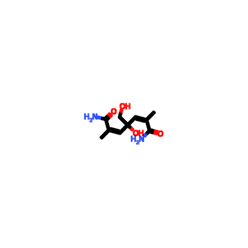 CC(=CC(O)(C=C(C)C(N)=O)CO)C(N)=O